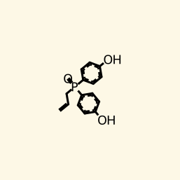 C=CCP(=O)(c1ccc(O)cc1)c1ccc(O)cc1